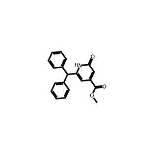 COC(=O)c1cc(C(c2ccccc2)c2ccccc2)[nH]c(=O)c1